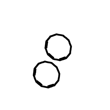 C1=CC=CCCCCCCC=C1.C1=CC=CCCCCCCC=C1